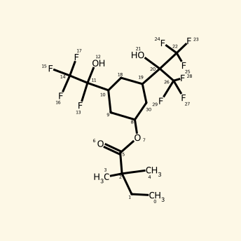 CCC(C)(C)C(=O)OC1CC(C(O)(F)C(F)(F)F)CC(C(O)(C(F)(F)F)C(F)(F)F)C1